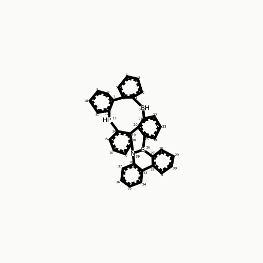 B1c2ccccc2-c2ccccc2Pc2cccc3c2-c2c1cccc2B1c2ccccc2-c2ccccc2N13